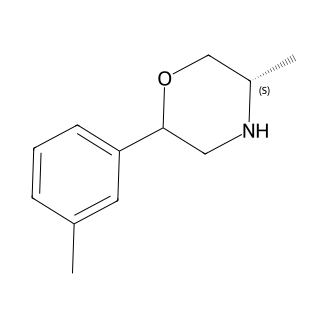 Cc1cccc(C2CN[C@@H](C)CO2)c1